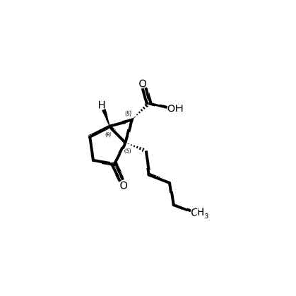 CCCCC[C@]12C(=O)CC[C@@H]1[C@@H]2C(=O)O